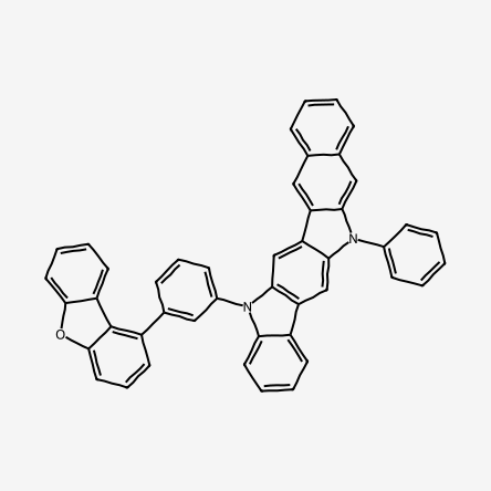 c1ccc(-n2c3cc4ccccc4cc3c3cc4c(cc32)c2ccccc2n4-c2cccc(-c3cccc4oc5ccccc5c34)c2)cc1